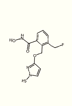 O=C(NO)c1cccc(CF)c1COc1ccn(S)n1